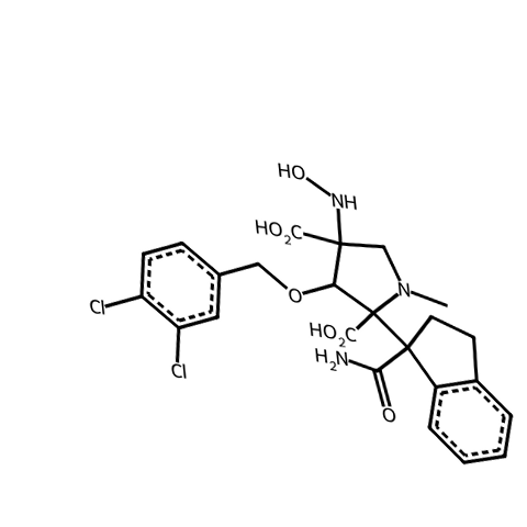 CN1CC(NO)(C(=O)O)C(OCc2ccc(Cl)c(Cl)c2)C1(C(=O)O)C1(C(N)=O)CCc2ccccc21